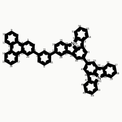 c1cc(-c2ccc3c4ccccc4c4ccccc4c3c2)cc(-c2ccc3c(c2)c2cc(-c4cc5c6ccccc6n6c7ccccc7c(c4)c56)cc4c5ccccc5n3c42)c1